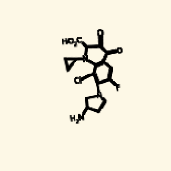 NC1CCN(c2c(F)cc3c(c2Cl)N(C2CC2)C(C(=O)O)C(=O)C3=O)C1